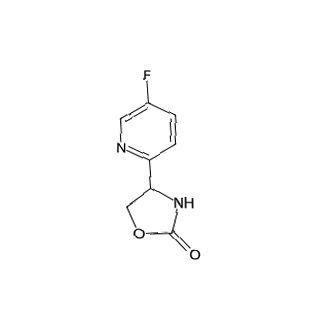 O=C1NC(c2ccc(F)cn2)CO1